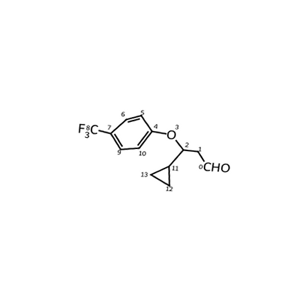 O=CCC(Oc1ccc(C(F)(F)F)cc1)C1CC1